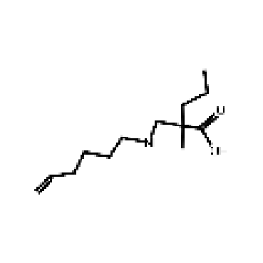 C=CCCCCNCC(C)(CCC)C(=O)O